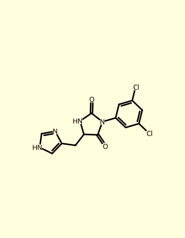 O=C1NC(Cc2c[nH]cn2)C(=O)N1c1cc(Cl)cc(Cl)c1